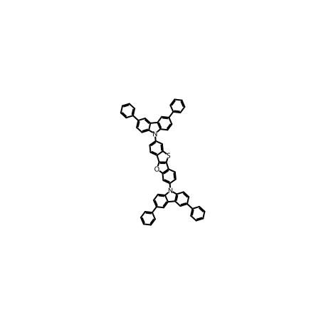 c1ccc(-c2ccc3c(c2)c2cc(-c4ccccc4)ccc2n3-c2ccc3c(c2)oc2c4ccc(-n5c6ccc(-c7ccccc7)cc6c6cc(-c7ccccc7)ccc65)cc4sc32)cc1